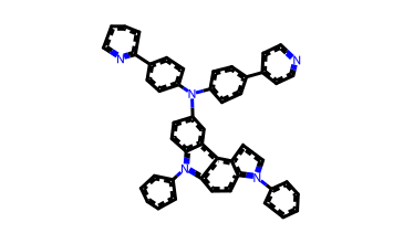 c1ccc(-n2ccc3c4c5cc(N(c6ccc(-c7ccncc7)cc6)c6ccc(-c7ccccn7)cc6)ccc5n(-c5ccccc5)c4ccc32)cc1